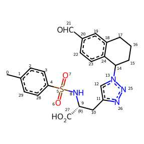 Cc1ccc(S(=O)(=O)N[C@H](Cc2cn(C3CCCc4cc(C=O)ccc43)nn2)C(=O)O)cc1